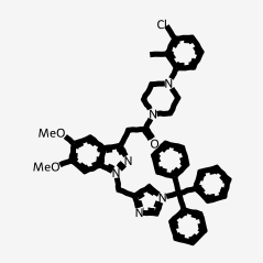 COc1cc2c(CC(=O)N3CCN(c4cccc(Cl)c4C)CC3)nn(Cc3cn(C(c4ccccc4)(c4ccccc4)c4ccccc4)cn3)c2cc1OC